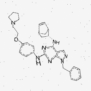 C1=CC2CC1C[C@H]2Nc1nc(Nc2ccc(OCCN3CCCC3)cc2)nc2c1cnn2Cc1ccccc1